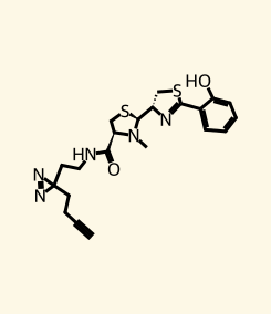 C#CCCC1(CCNC(=O)[C@H]2CS[C@@H]([C@@H]3CSC(c4ccccc4O)=N3)N2C)N=N1